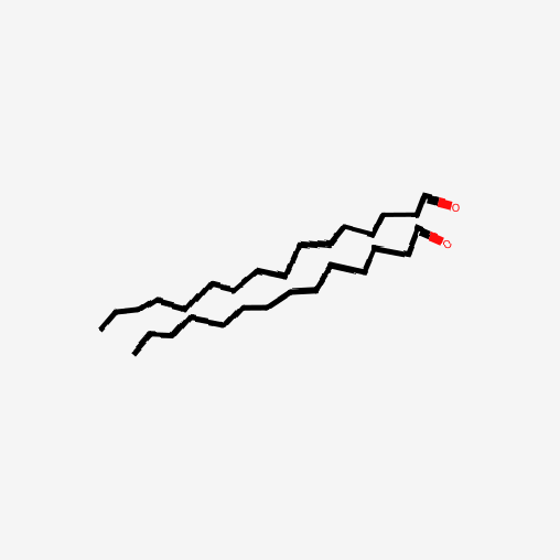 CCCCCCCCCCCCCC=O.CCCCCCCCCCCCCCCC=O